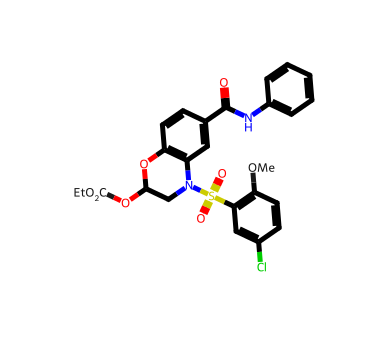 CCOC(=O)OC1CN(S(=O)(=O)c2cc(Cl)ccc2OC)c2cc(C(=O)Nc3ccccc3)ccc2O1